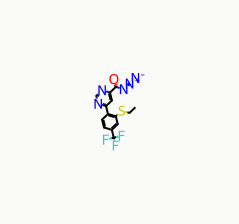 CCSc1cc(C(F)(F)F)ccc1-c1cc(C(=O)N=[N+]=[N-])ncn1